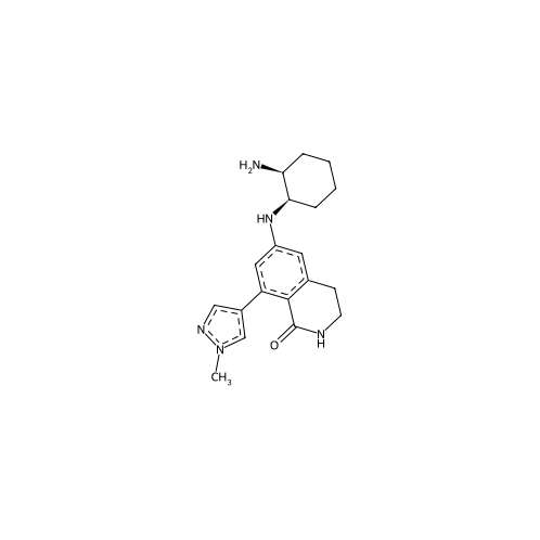 Cn1cc(-c2cc(N[C@@H]3CCCC[C@@H]3N)cc3c2C(=O)NCC3)cn1